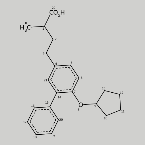 CC(CCc1ccc(OC2CCCC2)c(-c2ccccc2)c1)C(=O)O